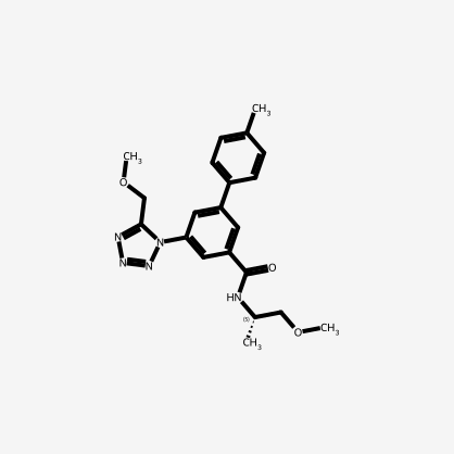 COCc1nnnn1-c1cc(C(=O)N[C@@H](C)COC)cc(-c2ccc(C)cc2)c1